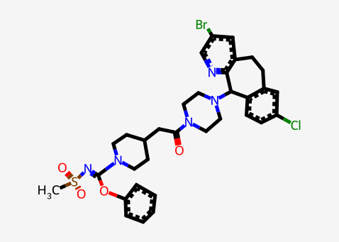 CS(=O)(=O)/N=C(\Oc1ccccc1)N1CCC(CC(=O)N2CCN(C3c4ccc(Cl)cc4CCc4cc(Br)cnc43)CC2)CC1